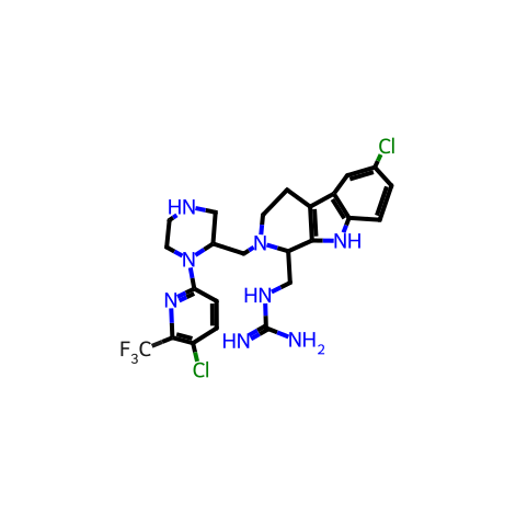 N=C(N)NCC1c2[nH]c3ccc(Cl)cc3c2CCN1CC1CNCCN1c1ccc(Cl)c(C(F)(F)F)n1